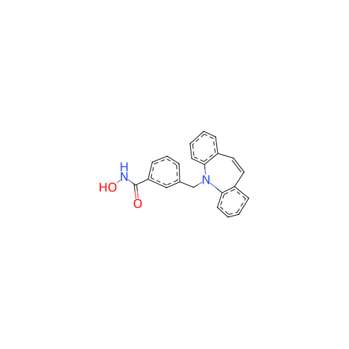 O=C(NO)c1cccc(CN2c3ccccc3C=Cc3ccccc32)c1